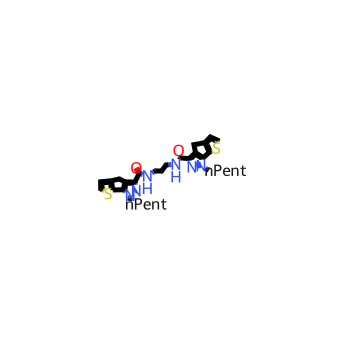 CCCCCn1nc(C(=O)NCCCNC(=O)c2nn(CCCCC)c3c2Cc2ccsc2-3)c2c1-c1sccc1C2